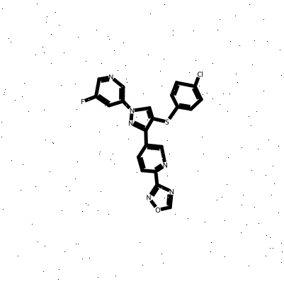 Fc1cncc(-n2cc(Sc3ccc(Cl)cc3)c(-c3ccc(-c4ncon4)nc3)n2)c1